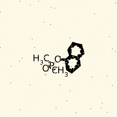 CP(C)(=O)Oc1cccc2ccccc12